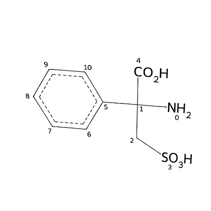 NC(CS(=O)(=O)O)(C(=O)O)c1ccccc1